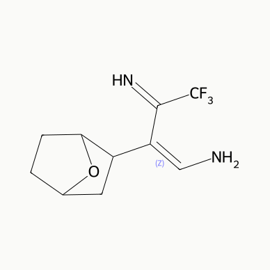 N=C(/C(=C\N)C1CC2CCC1O2)C(F)(F)F